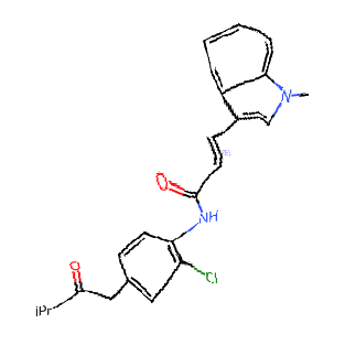 CC(C)C(=O)Cc1ccc(NC(=O)/C=C/c2cn(C)c3ccccc23)c(Cl)c1